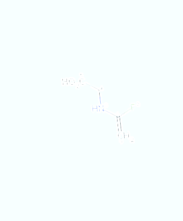 C=C(F)NCC(=O)O